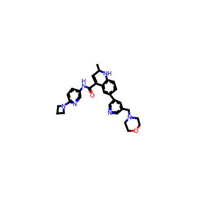 CC1C=C(C(=O)Nc2ccc(N3CCC3)nc2)c2cc(-c3cncc(CN4CCOCC4)c3)ccc2N1